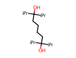 CC(C)C(O)(CCCCC(O)(C(C)C)C(C)C)C(C)C